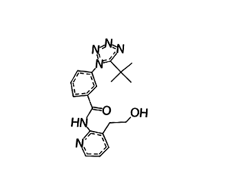 CC(C)(C)c1nnnn1-c1cccc(C(=O)Nc2ncccc2CCO)c1